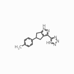 Cc1ccc(C2Cc3[nH]nc(-c4nnn[nH]4)c3C2)cc1